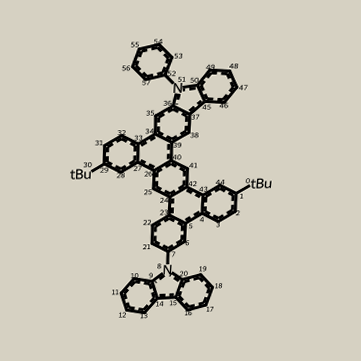 CC(C)(C)c1ccc2c3cc(-n4c5ccccc5c5ccccc54)ccc3c3cc4c5cc(C(C)(C)C)ccc5c5cc6c(cc5c4cc3c2c1)c1ccccc1n6-c1ccccc1